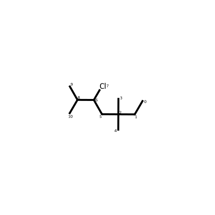 CCC(C)(C)CC(Cl)C(C)C